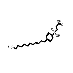 CCCCCCCCC=CCCc1ccc(P(=O)(O)CCC(=O)O)cc1